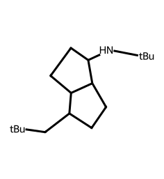 CC(C)(C)CC1CCC2C(NC(C)(C)C)CCC12